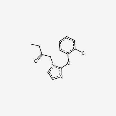 CCC(=O)Cn1ccnc1Oc1ccccc1Cl